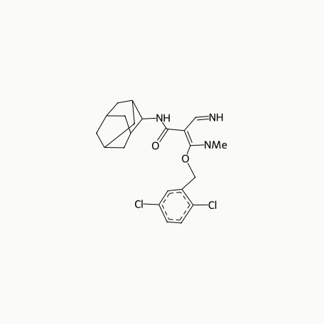 CN/C(OCc1cc(Cl)ccc1Cl)=C(\C=N)C(=O)NC1C2CC3CC(C2)CC1C3